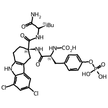 CC[C@H](C)C(NC(=O)[C@@]1(NC(=O)[C@H](Cc2ccc(OP(=O)(O)O)cc2)NC(=O)O)CCc2[nH]c3c(Cl)cc(Cl)cc3c2C1)C(N)=O